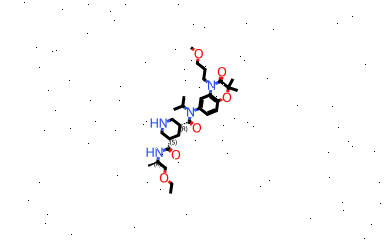 CCOC[C@@H](C)NC(=O)[C@@H]1CNC[C@H](C(=O)N(c2ccc3c(c2)N(CCCOC)C(=O)C(C)(C)O3)C(C)C)C1